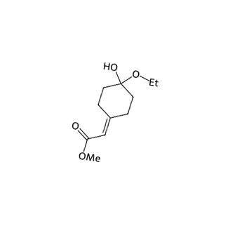 CCOC1(O)CCC(=CC(=O)OC)CC1